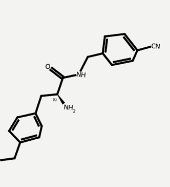 CNCc1ccc(C[C@H](N)C(=O)NCc2ccc(C#N)cc2)cc1